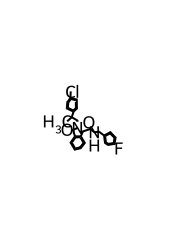 CC(CN1C(=O)c2ccccc2C1C(=O)NCc1ccc(F)cc1)c1ccc(Cl)cc1